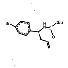 C=CC[C@H](N[S+]([O-])C(C)(C)C)c1ccc(Br)cc1